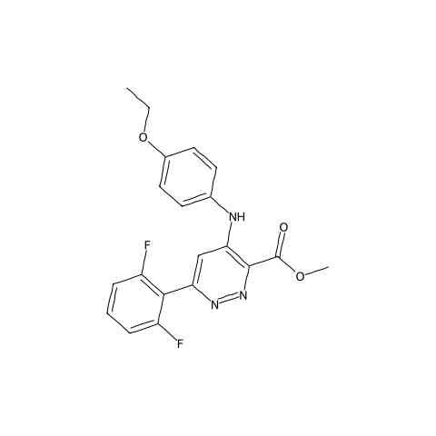 CCOc1ccc(Nc2cc(-c3c(F)cccc3F)nnc2C(=O)OC)cc1